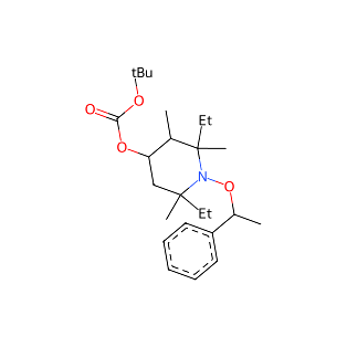 CCC1(C)CC(OC(=O)OC(C)(C)C)C(C)C(C)(CC)N1OC(C)c1ccccc1